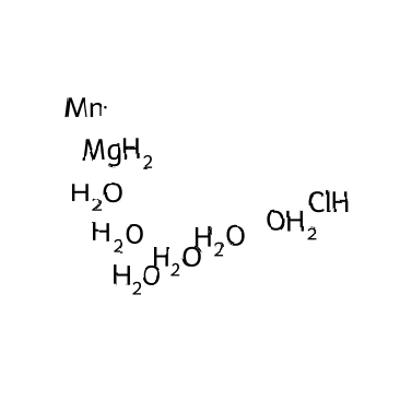 Cl.O.O.O.O.O.O.[MgH2].[Mn]